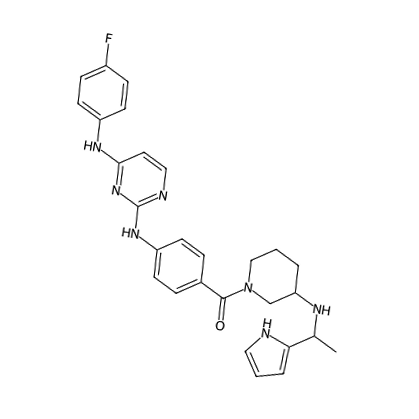 CC(NC1CCCN(C(=O)c2ccc(Nc3nccc(Nc4ccc(F)cc4)n3)cc2)C1)c1ccc[nH]1